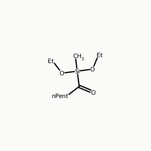 CCCCCC(=O)[Si](C)(OCC)OCC